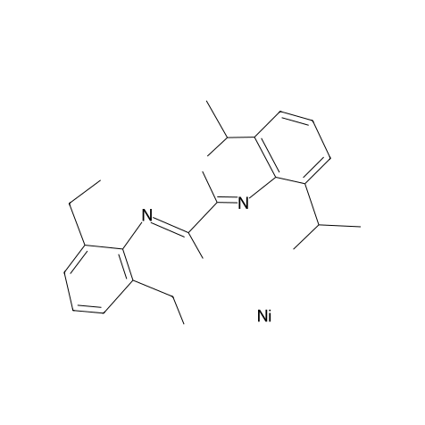 CCc1cccc(CC)c1N=C(C)C(C)=Nc1c(C(C)C)cccc1C(C)C.[Ni]